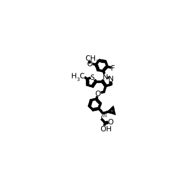 COc1ccc(F)c(-n2ncc(COc3cccc([C@@H](CC(=O)O)C4CC4)c3)c2-c2ccc(C)s2)c1